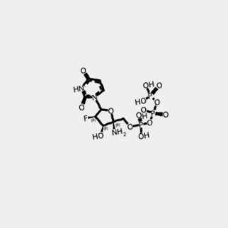 N[C@]1(COP(=O)(O)OP(=O)(O)OP(=O)(O)O)OC(n2ccc(=O)[nH]c2=O)[C@H](F)[C@@H]1O